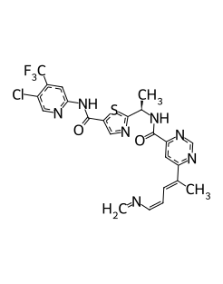 C=N/C=C\C=C(/C)c1cc(C(=O)N[C@H](C)c2ncc(C(=O)Nc3cc(C(F)(F)F)c(Cl)cn3)s2)ncn1